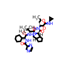 CCC[C@@H](NC(=O)[C@H]1[C@H]2CCC[C@H]2CN1C(=O)[C@H](NC(=O)[C@@H](NC(=O)c1cnccn1)C1CCCCC1)C(C)(C)C)C(=O)C(=O)NC1CC1